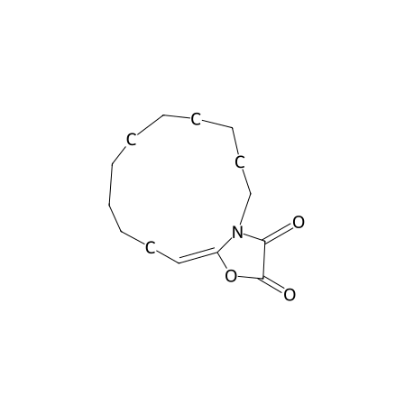 O=C1OC2=CCCCCCCCCCCN2C1=O